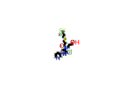 O=C(CCSCCC(F)(F)F)N(CCCO)c1cn(-c2cccnc2)nc1Cl